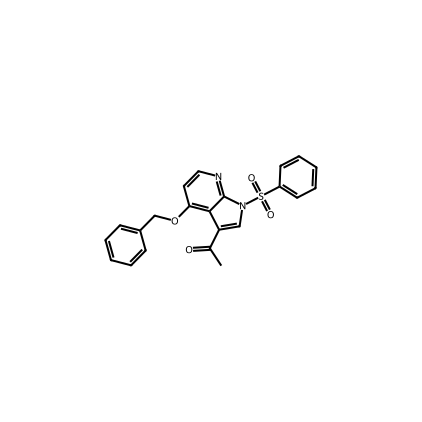 CC(=O)c1cn(S(=O)(=O)c2ccccc2)c2nccc(OCc3ccccc3)c12